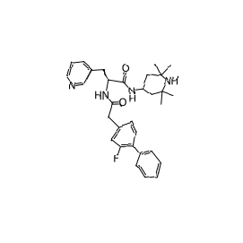 CC1(C)CC(NC(=O)[C@H](Cc2cccnc2)NC(=O)Cc2ccc(-c3ccccc3)c(F)c2)CC(C)(C)N1